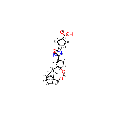 CC1OCOc2ccc(-c3noc(-c4ccc(C(=O)O)cc4)n3)cc2C23CC4CC(C2)C1C(C4)C3